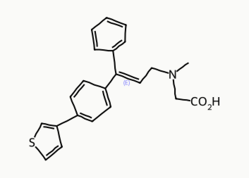 CN(C/C=C(\c1ccccc1)c1ccc(-c2ccsc2)cc1)CC(=O)O